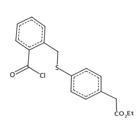 CCOC(=O)Cc1ccc(SCc2ccccc2C(=O)Cl)cc1